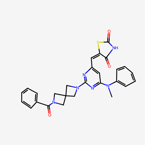 CN(c1ccccc1)c1cc(C=C2SC(=O)NC2=O)nc(N2CC3(CN(C(=O)c4ccccc4)C3)C2)n1